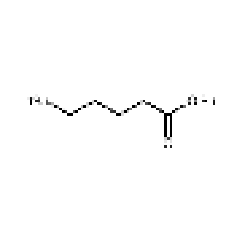 CC(C)COC(=O)CCCCC(C)(C)C